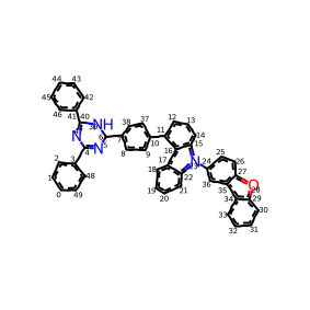 c1ccc(C2=NC(c3ccc(-c4cccc5c4c4ccccc4n5-c4ccc5oc6ccccc6c5c4)cc3)NC(c3ccccc3)=N2)cc1